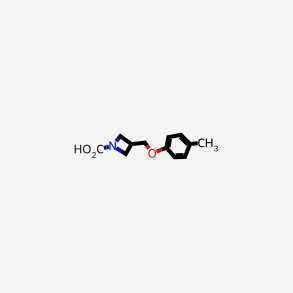 Cc1ccc(OCC2CN(C(=O)O)C2)cc1